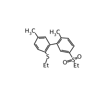 CCSc1ccc(C)cc1-c1cc(S(=O)(=O)CC)ccc1C